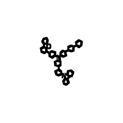 c1ccc(-c2ccc(-c3ccc(N(c4ccc(-c5cccc(-n6c7ccccc7c7ccccc76)c5)cc4)c4ccc(-c5cccc6c5oc5ccccc56)cc4)cc3)cc2)cc1